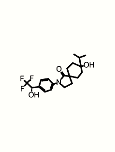 CC(C)C1(O)CCC2(CCN(c3ccc([C@@H](O)C(F)(F)F)cc3)C2=O)CC1